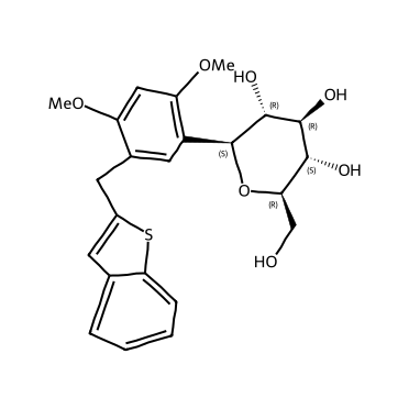 COc1cc(OC)c([C@@H]2O[C@H](CO)[C@@H](O)[C@H](O)[C@H]2O)cc1Cc1cc2ccccc2s1